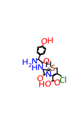 NC(C(=O)NC1C(=O)N2C(C(=O)O)=C(CCl)CS[C@H]12)c1ccc(O)cc1